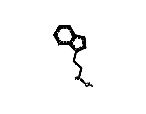 CNCCn1ccc2cccnc21